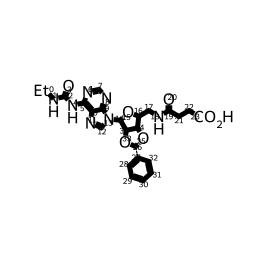 CCNC(=O)Nc1ncnc2c1ncn2C1OC(CNC(=O)CCC(=O)O)C2O[C@H](c3ccccc3)OC21